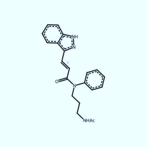 CC(=O)NCCCN(C(=O)/C=C/c1n[nH]c2ccccc12)c1ccccc1